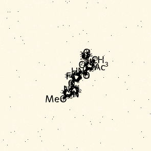 COc1cnc2c(Oc3ccc(NC(=O)c4cc(C(C)=O)c(C)n(-c5ccoc5)c4=O)cc3F)ccnc2c1